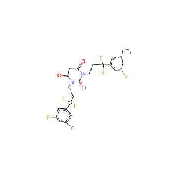 Cc1cc(F)cc(C(F)(F)CCN2C(=O)CC(=O)N(CCC(F)(F)c3cc(F)cc(Cl)c3)C2=O)c1